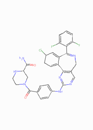 NC(=O)C1CN(C(=O)c2ccc(Nc3ncc4c(n3)C3=CCC(Cl)C=C3C(c3c(F)cccc3F)=NC4)cc2)CCN1